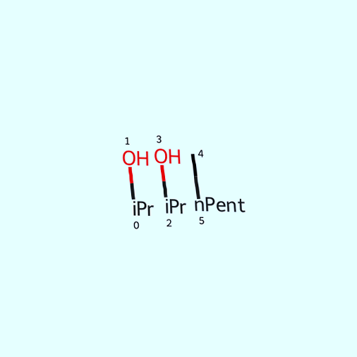 CC(C)O.CC(C)O.CCCCCC